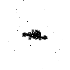 Nc1ccccc1Nc1c2ccc(NC(=O)CCN3CCCC3)cc2nc2ccc(NC(=O)CCN3CCCC3)cc12